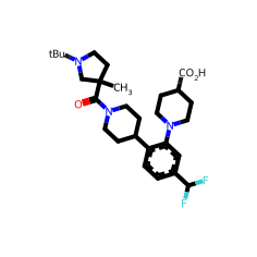 CC1(C(=O)N2CCC(c3ccc(C(F)F)cc3N3CCC(C(=O)O)CC3)CC2)CCN(C(C)(C)C)C1